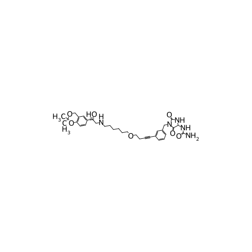 CC1(C)OCc2cc([C@H](O)CNCCCCCCOCCC#Cc3cccc(CN4C(=O)NC(NC(N)=O)C4=O)c3)ccc2O1